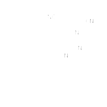 N#Cc1c(Cc2ccccc2)nnn1C#N